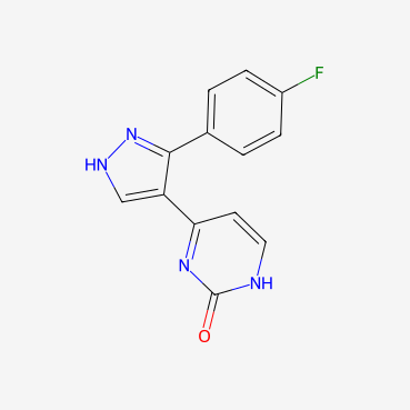 O=c1nc(-c2c[nH]nc2-c2ccc(F)cc2)cc[nH]1